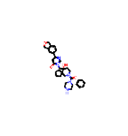 O=C(N1CC[C@@](O)(Cn2cnc(-c3ccc4c(c3)COC4)cc2=O)C2(CCCC2)C1)N1CCNC[C@H]1c1ccccc1